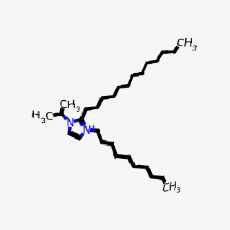 CCCCCCCCCCCCCc1n(C(C)C)cc[n+]1CCCCCCCCCC